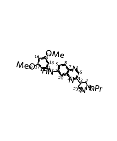 CCCN1CC(c2cnc3ccc(Nc4cc(OC)cc(OC)c4)cc3n2)C=N1